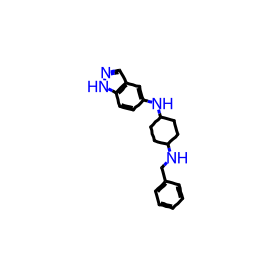 c1ccc(CNC2CCC(Nc3ccc4[nH]ncc4c3)CC2)cc1